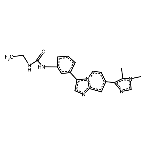 Cc1c(-c2ccn3c(-c4cccc(NC(=O)NCC(F)(F)F)c4)cnc3c2)ncn1C